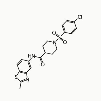 Cc1nc2cc(NC(=O)C3CCN(S(=O)(=O)c4ccc(Cl)cc4)CC3)ccc2s1